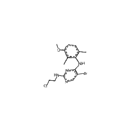 COc1ccc(C)c(Nc2nc(NCCCl)ncc2Br)c1C